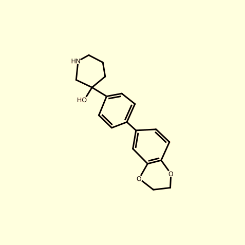 OC1(c2ccc(-c3ccc4c(c3)OCCO4)cc2)CCCNC1